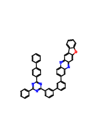 c1ccc(-c2ccc(-c3nc(-c4ccccc4)nc(-c4cccc(-c5cccc(-c6ccc7nc8cc9c(cc8nc7c6)oc6ccccc69)c5)c4)n3)cc2)cc1